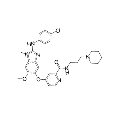 COc1cc2c(cc1Oc1ccnc(C(=O)NCCCN3CCCCC3)c1)nc(Nc1ccc(Cl)cc1)n2C